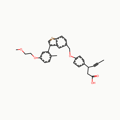 CC#CC(CC(=O)O)c1ccc(OCc2ccc3scc(-c4cc(OCCOC)ccc4C)c3c2)cc1